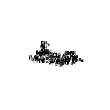 CCCCN(C)C(=O)NCC1(C)CC(NC(=O)OC(COc2ccc(C(C)(C)c3ccc(OCC(CN4CC4C)OC(=O)NCC4(C)CC(NC(=O)OCC)CC(C)(C)C4)cc3)cc2)CN2CC2C)CC(C)(C)C1